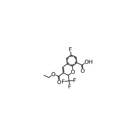 CCOC(=O)C1=Cc2cc(F)cc(C(=O)O)c2OC1C(F)(F)F